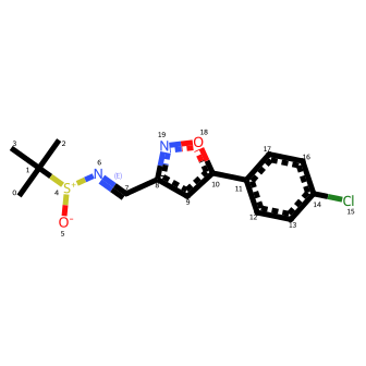 CC(C)(C)[S+]([O-])/N=C/c1cc(-c2ccc(Cl)cc2)on1